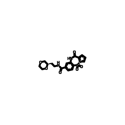 O=C(NCC[C@H]1COCCO1)c1ccc2c(c1)NC(=O)c1cccn1S2(=O)=O